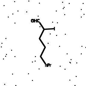 CCCCCCC(I)C=O